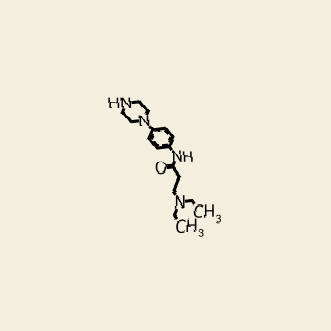 CCN(CC)CCC(=O)Nc1ccc(N2CCNCC2)cc1